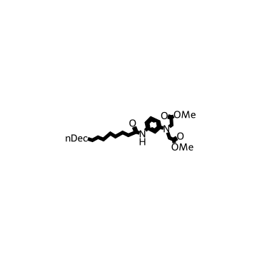 CCCCCCCCCCCCCCCCCC(=O)Nc1cccc(N(CC(=O)OC)CC(=O)OC)c1